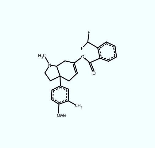 COc1ccc(C23CC=C(OC(=O)c4ccccc4C(F)F)CC2N(C)CC3)cc1C